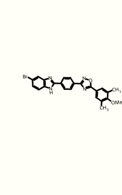 COc1c(C)cc(-c2nc(-c3ccc(-c4nc5cc(Br)ccc5[nH]4)cc3)no2)cc1C